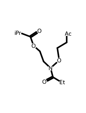 CCC(=O)N(CCOC(=O)C(C)C)OCCC(C)=O